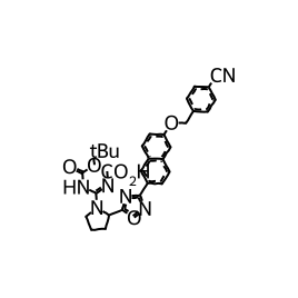 CC(C)(C)OC(=O)NC(=NC(=O)O)N1CCCC1c1nc(-c2ccc3cc(OCc4ccc(C#N)cc4)ccc3c2)no1